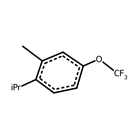 Cc1cc(OC(F)(F)F)ccc1C(C)C